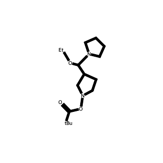 CCOC(C1CCN(OC(=O)C(C)(C)C)C1)N1CCCC1